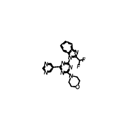 FC(F)c1nc2ccccc2n1-c1nc(-c2cncnc2)nc(N2CCOCC2)n1